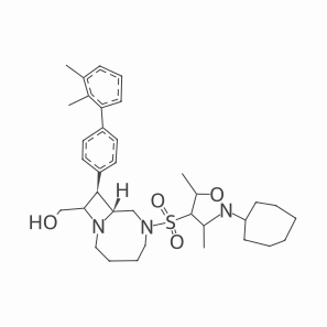 Cc1cccc(-c2ccc([C@@H]3C(CO)N4CCCCN(S(=O)(=O)C5C(C)ON(C6CCCCCC6)C5C)C[C@@H]34)cc2)c1C